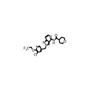 O=C(Nc1nccc2nn(Cc3cnc(OCC(F)(F)F)c(Cl)c3)cc12)C1CCOCC1